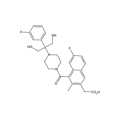 Cc1c(CC(=O)O)cc2ccc(F)cc2c1C(=O)N1CCN(S(CO)(CO)c2cccc(F)c2)CC1